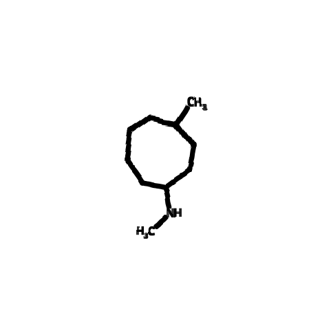 CNC1CCCCC(C)CC1